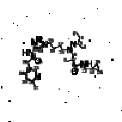 CC/C(C)=N/N(/C=C(\C)C(=O)NCC1CC1)CCCCn1cc(NC(=O)Cc2ccc(C)nc2)nn1